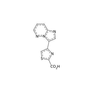 O=C(O)c1nc(-c2cnc3cccnn23)cs1